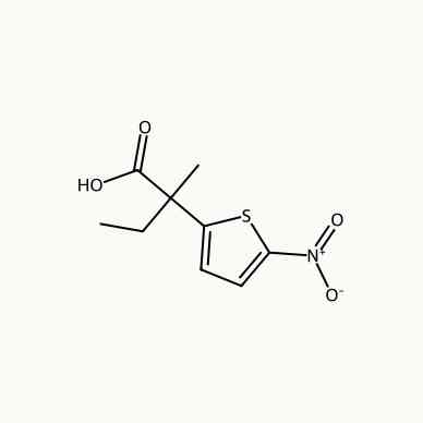 CCC(C)(C(=O)O)c1ccc([N+](=O)[O-])s1